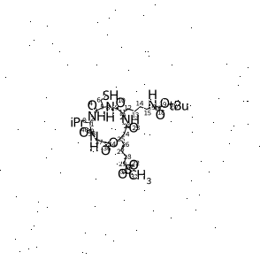 CC(C)[C@H]1NC(=O)C(CS)NC(=O)[C@@H](CCCCNC(=O)OC(C)(C)C)NC(=O)C[C@@H](/C=C/CCS(C)(=O)=O)OC(=O)CNC1=O